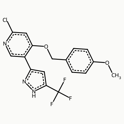 COc1ccc(COc2cc(Cl)ncc2-c2cc(C(F)(F)F)[nH]n2)cc1